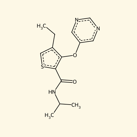 CCc1csc(C(=O)NC(C)C)c1Oc1cncnc1